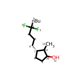 CCCCC(F)(F)CCC[C@H]1CCC(O)C1C